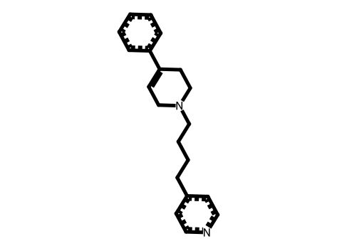 C1=C(c2ccccc2)CCN(CCCCc2ccncc2)C1